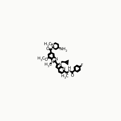 COc1cc(C(=O)N2C[C@H](N)CCN2C)cc2nc(-c3cc4ccc([C@@H](C)NC(=O)c5ccc(F)cc5)nc4n3CC3CC3)n(C)c12